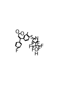 Cc1c(Sc2ncc(C(O)(C(F)(F)F)C(F)(F)F)s2)ccc2c(-c3ccc(F)cc3)cc(=O)oc12